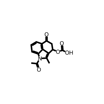 CC(=O)n1c(C)c2c3c(cccc31)C(=O)CC2OC(=O)O